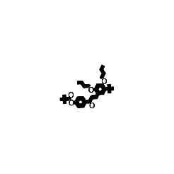 CCCCOc1cc(OCCCC)c(C(C)(C)C)cc1C=CC(=O)c1ccc(OC(=O)C(C)(C)C)cc1